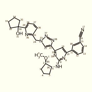 CO[C@@H]1CCC[C@H]1Nc1nc(-c2cccc(C#N)c2)cc(-c2cn(Cc3cccc(C4(O)CCCC4)n3)nn2)n1